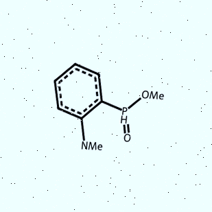 CNc1ccccc1[PH](=O)OC